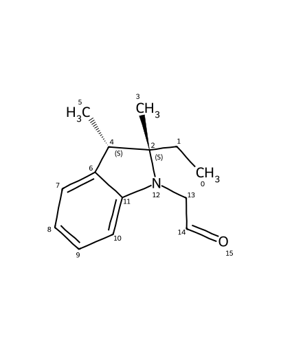 CC[C@@]1(C)[C@@H](C)c2ccccc2N1CC=O